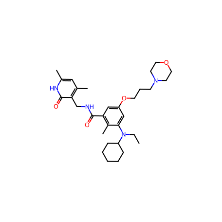 CCN(c1cc(OCCCN2CCOCC2)cc(C(=O)NCc2c(C)cc(C)[nH]c2=O)c1C)C1CCCCC1